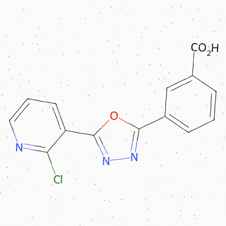 O=C(O)c1cccc(-c2nnc(-c3cccnc3Cl)o2)c1